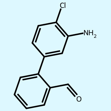 Nc1cc(-c2ccccc2C=O)ccc1Cl